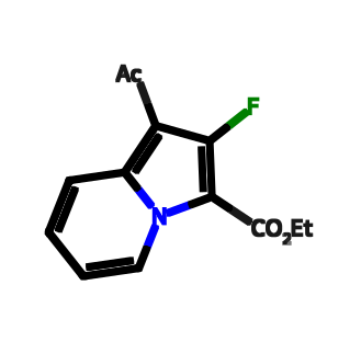 CCOC(=O)c1c(F)c(C(C)=O)c2ccccn12